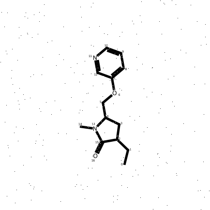 CCC1CC(COc2cccnc2)N(C)C1=O